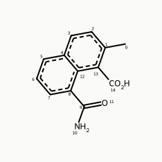 Cc1ccc2cccc(C(N)=O)c2c1C(=O)O